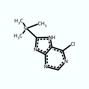 C[Si](C)(C)c1nc2ncnc(Cl)c2[nH]1